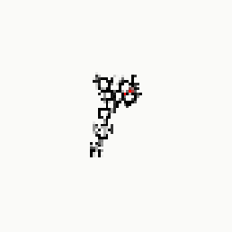 CCOCc1cnc(N2CCC(c3nc4c(c(C5CCC(F)(F)CC5)c3C(F)c3ccc(C)cc3)C(O)CC(C)(C)C4)CC2)nc1